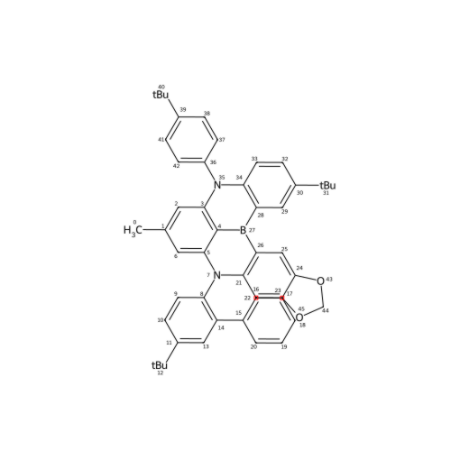 Cc1cc2c3c(c1)N(c1ccc(C(C)(C)C)cc1-c1ccccc1)c1cc4c(cc1B3c1cc(C(C)(C)C)ccc1N2c1ccc(C(C)(C)C)cc1)OCO4